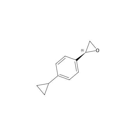 c1cc([C@H]2CO2)ccc1C1CC1